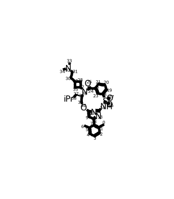 Cc1cccc(C)c1-c1cc2nc(n1)NS(=O)(=O)c1cccc(c1)C(=O)N(C1CC(CCN(C)C)C1)[C@H](CC(C)C)CO2